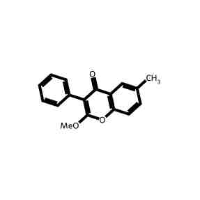 COc1oc2ccc(C)cc2c(=O)c1-c1ccccc1